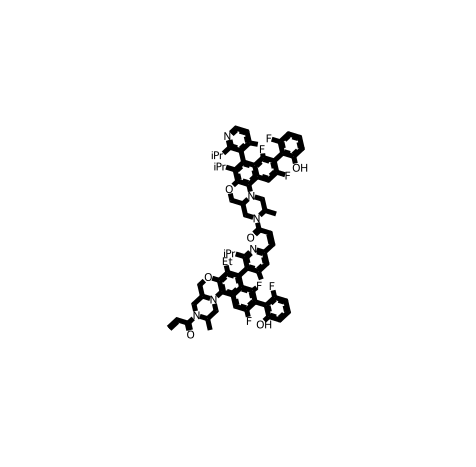 C=CC(=O)N1CC2COc3c(CC)c(-c4c(C)cc(/C=C\C(=O)N5CC6COc7c(C(C)C)c(-c8c(C)ccnc8C(C)C)c8c(F)c(-c9c(O)cccc9F)c(F)cc8c7N6CC5C)nc4C(C)C)c4c(F)c(-c5c(O)cccc5F)c(F)cc4c3N2CC1C